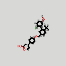 C=C[C@@H](CC(=O)O)c1ccc(OCc2ccc(C(C)(C)C)c(-c3cc(OC)ccc3F)c2)cc1